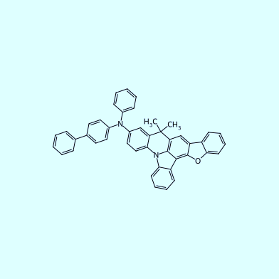 CC1(C)c2cc(N(c3ccccc3)c3ccc(-c4ccccc4)cc3)ccc2-n2c3ccccc3c3c4oc5ccccc5c4cc1c32